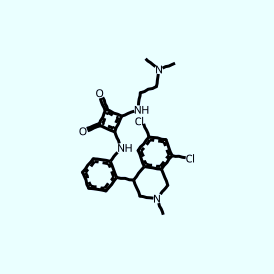 CN(C)CCNc1c(Nc2ccccc2C2CN(C)Cc3c(Cl)cc(Cl)cc32)c(=O)c1=O